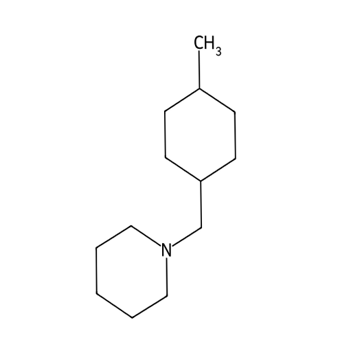 CC1CCC(CN2CCCCC2)CC1